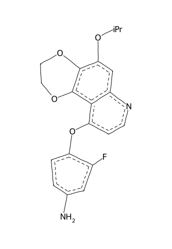 CC(C)Oc1cc2nccc(Oc3ccc(N)cc3F)c2c2c1OCCO2